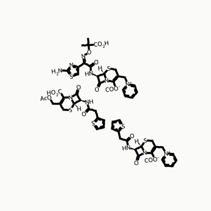 CC(=O)OCC1=C(C(=O)O)N2C(=O)[C@@H](NC(=O)Cc3cccs3)[C@H]2SC1.CC(C)(O/N=C(\C(=O)N[C@@H]1C(=O)N2C(C(=O)[O-])=C(C[n+]3ccccc3)CS[C@H]12)c1csc(N)n1)C(=O)O.O=C(Cc1cccs1)N[C@@H]1C(=O)N2C(C(=O)[O-])=C(C[n+]3ccccc3)CS[C@H]12